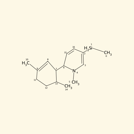 C[SiH2]C1=CN(C)C(C2C=C(C)CCC2C)C=C1